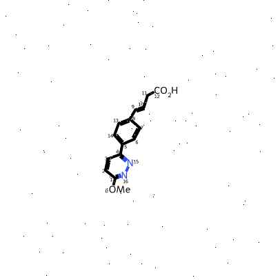 COc1ccc(-c2ccc(/C=C/CC(=O)O)cc2)nn1